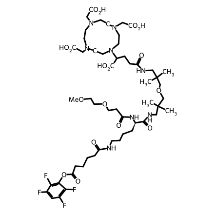 COCCOCCC(=O)N[C@H](CCCCNC(=O)CCCCC(=O)Oc1c(F)c(F)cc(F)c1F)C(=O)NCC(C)(C)COCC(C)(C)CNC(=O)CCC(C(=O)O)N1CCN(CC(=O)O)CCN(CC(=O)O)CCN(CC(=O)O)CC1